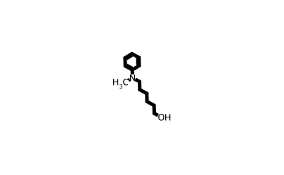 CN(CCCCCCO)c1ccccc1